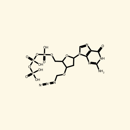 [N-]=[N+]=NCOC1CC(n2cnc3c(=O)[nH]c(N)nc32)OC1COP(=O)(O)OP(=O)(O)OP(=O)(O)O